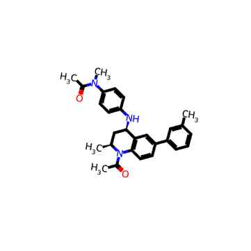 CC(=O)N(C)c1ccc(N[C@@H]2C[C@H](C)N(C(C)=O)c3ccc(-c4cccc(C)c4)cc32)cc1